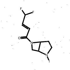 O=C(/C=C/C(F)F)N1CC2C1CCN2I